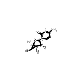 CC[C@]12O[C@@H](n3ccc(N)nc3=O)[C@H](Cl)[C@@]1(O)C2O